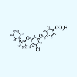 O=C(O)c1ccc(COc2ccc(CC3CCN(C4CCCCC4)C3=O)c(Cl)c2)cc1